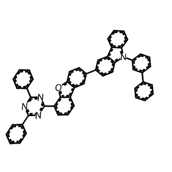 c1ccc(-c2cccc(-n3c4ccccc4c4cc(-c5ccc6oc7c(-c8nc(-c9ccccc9)nc(-c9ccccc9)n8)cccc7c6c5)ccc43)c2)cc1